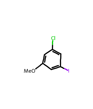 COc1cc(Cl)cc(I)c1